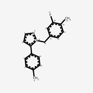 Cc1ccc(-c2ccnn2Cc2ccc(C)c(F)c2)cc1